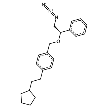 [N-]=[N+]=NC[C@H](OCc1ccc(CCC2CCCC2)cc1)c1ccccc1